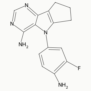 Nc1ccc(-n2c3c(c4ncnc(N)c42)CCC3)cc1F